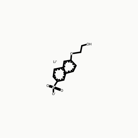 O=S(=O)([O-])c1ccc2cc(OCCO)ccc2c1.[Li+]